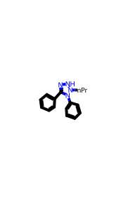 CCCN1NN=C(c2ccccc2)N1c1ccccc1